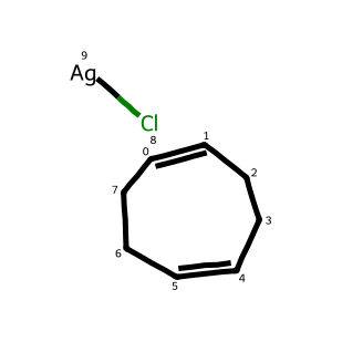 C1=CCCC=CCC1.[Cl][Ag]